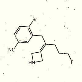 N#Cc1ccc(Br)c(CC(CCCF)=C2CNC2)c1